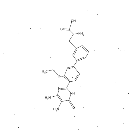 CCOc1cc(-c2cccc(CC(N)C(=O)O)c2)ccc1-c1nc(N)c(N)c(=O)[nH]1